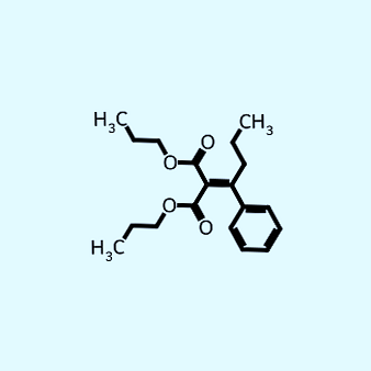 CCCOC(=O)C(C(=O)OCCC)=C(CCC)c1ccccc1